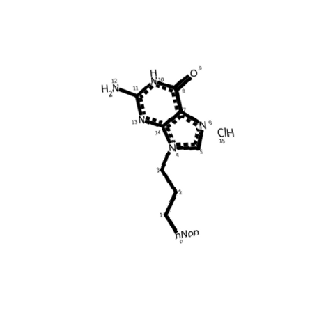 CCCCCCCCCCCCn1cnc2c(=O)[nH]c(N)nc21.Cl